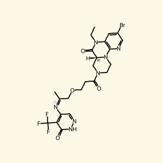 CCN1C(=O)[C@H]2CN(C(=O)CCOC/C(C)=N\c3cn[nH]c(=O)c3C(F)(F)F)CCN2c2ncc(Br)cc21